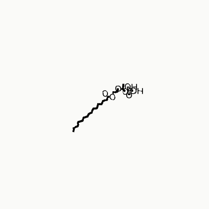 CCCCCCCCCCCCCCCC(=O)OCCOC(C)OP(=O)(O)O